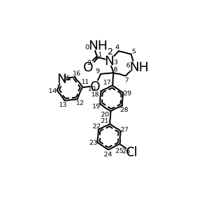 NC(=O)N1CCNCC1(COc1cccnc1)c1ccc(-c2cccc(Cl)c2)cc1